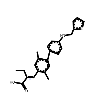 CC/C(=C\c1cc(C)c(-c2ccc(NCc3ccco3)cc2)cc1C)C(=O)O